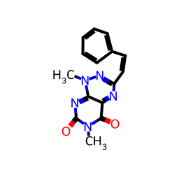 Cn1nc(/C=C\c2ccccc2)nc2c(=O)n(C)c(=O)nc1-2